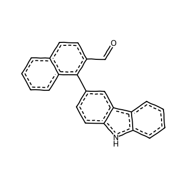 O=Cc1ccc2ccccc2c1-c1ccc2[nH]c3ccccc3c2c1